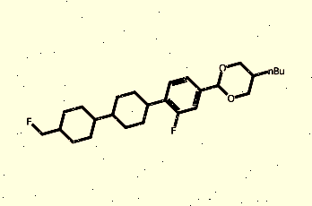 CCCCC1COC(c2ccc(C3CCC(C4CCC(CF)CC4)CC3)c(F)c2)OC1